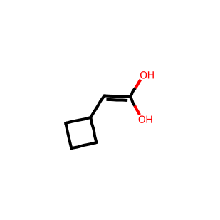 OC(O)=CC1CCC1